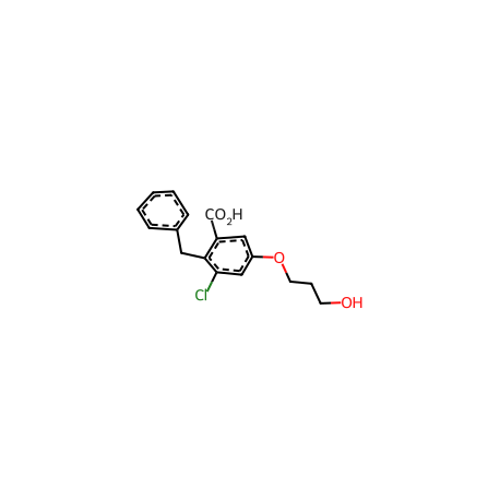 O=C(O)c1cc(OCCCO)cc(Cl)c1Cc1ccccc1